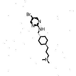 CN(C)CCC[C@H]1CC[C@H](CNc2ncc(Br)cn2)CC1